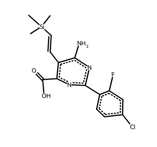 C[Si](C)(C)/C=C/c1c(N)nc(-c2ccc(Cl)cc2F)nc1C(=O)O